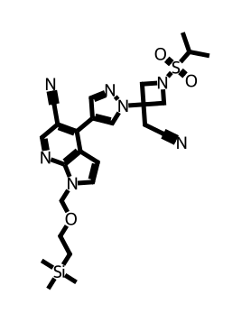 CC(C)S(=O)(=O)N1CC(CC#N)(n2cc(-c3c(C#N)cnc4c3ccn4COCC[Si](C)(C)C)cn2)C1